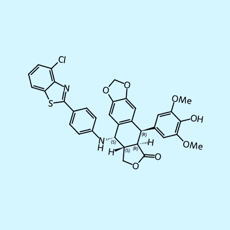 COc1cc([C@@H]2c3cc4c(cc3[C@@H](Nc3ccc(-c5nc6c(Cl)cccc6s5)cc3)[C@H]3COC(=O)[C@H]23)OCO4)cc(OC)c1O